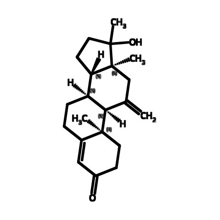 C=C1C[C@@]2(C)[C@@H](CCC2(C)O)[C@@H]2CCC3=CC(=O)CC[C@]3(C)[C@H]12